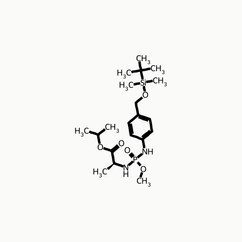 COP(=O)(Nc1ccc(CO[Si](C)(C)C(C)(C)C)cc1)N[C@@H](C)C(=O)OC(C)C